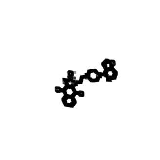 O=C1c2ccccc2C(=O)c2c1n[n+]([O-])n2CCN1CCN(c2nccc3occc23)CC1